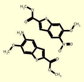 COC(=O)c1cc2cc(N)c(OC)cc2s1.COC(=O)c1cc2cc([N+](=O)[O-])c(OC)cc2s1